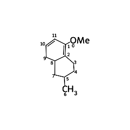 COC1=C2CCC(C)CC2CC=C1